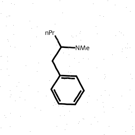 CCCC(Cc1ccccc1)NC